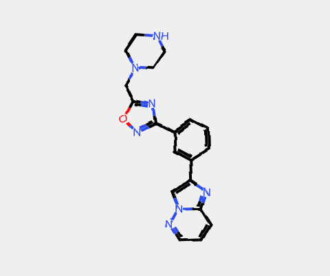 c1cc(-c2cn3ncccc3n2)cc(-c2noc(CN3CCNCC3)n2)c1